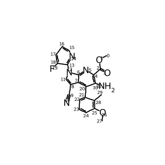 COC(=O)c1nc2c(c(C#N)cn2-c2ncccc2F)c(-c2cccc(OC)c2C)c1N